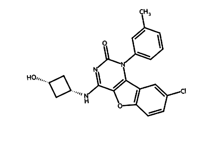 Cc1cccc(-n2c(=O)nc(N[C@H]3C[C@@H](O)C3)c3oc4ccc(Cl)cc4c32)c1